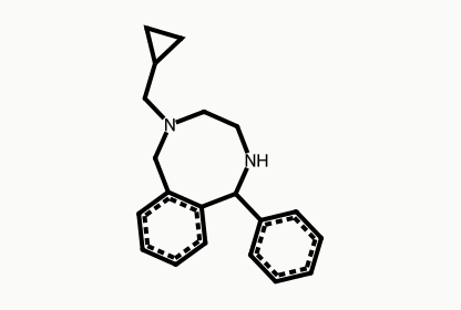 c1ccc(C2NCCN(CC3CC3)Cc3ccccc32)cc1